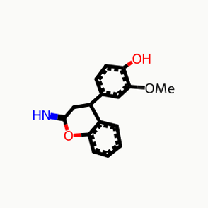 COc1cc(C2CC(=N)Oc3ccccc32)ccc1O